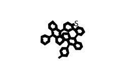 Cc1ccc(-c2c3ccccc3c(-c3cccc4sc5ccc(-c6c7ccccc7c(-c7ccccc7)c7ccccc67)cc5c34)c3ccccc23)cc1